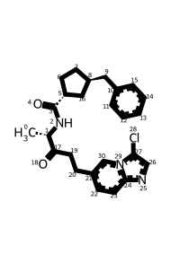 C[C@H](NC(=O)[C@@H]1CC[C@@H](Cc2ccccc2)C1)C(=O)CCc1ccc2ncc(Cl)n2c1